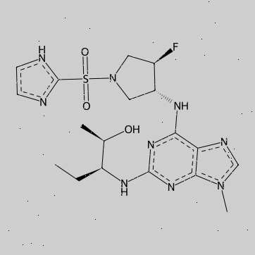 CC[C@H](Nc1nc(N[C@@H]2CN(S(=O)(=O)c3ncc[nH]3)C[C@H]2F)c2ncn(C)c2n1)[C@@H](C)O